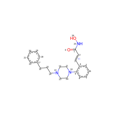 O=C(/C=C/c1ccccc1N1CCN(CCCc2ccccc2)CC1)NO